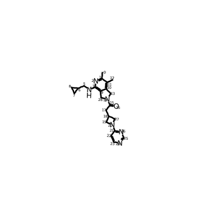 Cc1nc(NCC2CC2)c2c(c1C)CN(C(=O)CC1CN(c3ccncn3)C1)C2